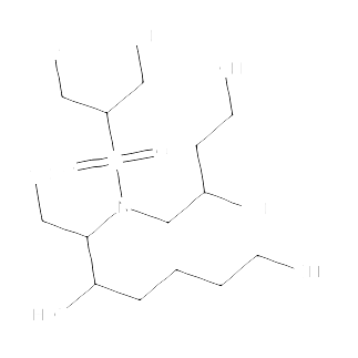 CCCCCC(C)C(CC)N(CC(C)CCC)S(=O)(=O)C(CC)CO